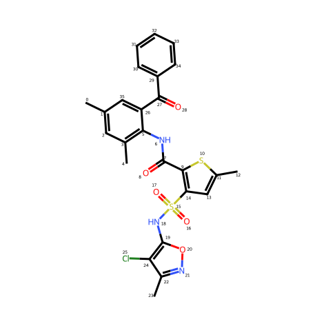 Cc1cc(C)c(NC(=O)c2sc(C)cc2S(=O)(=O)Nc2onc(C)c2Cl)c(C(=O)c2ccccc2)c1